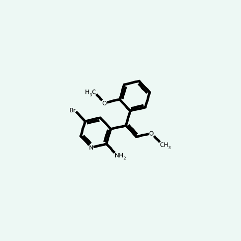 CO/C=C(\c1ccccc1OC)c1cc(Br)cnc1N